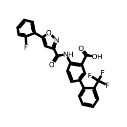 O=C(Nc1ccc(-c2ccccc2C(F)(F)F)cc1C(=O)O)c1cc(-c2ccccc2F)on1